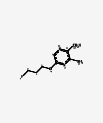 Nc1nc(OCCCF)cnc1C(=O)O